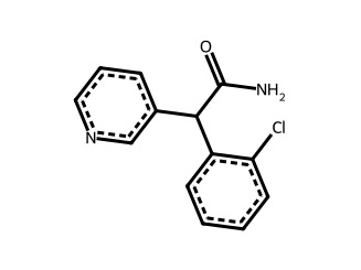 NC(=O)C(c1cccnc1)c1ccccc1Cl